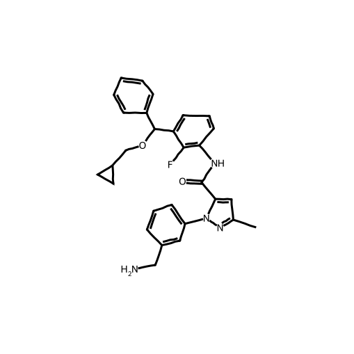 Cc1cc(C(=O)Nc2cccc(C(OCC3CC3)c3ccccc3)c2F)n(-c2cccc(CN)c2)n1